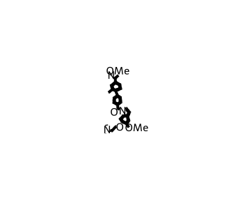 CON=C(C)c1ccc(-c2ccc(C(=O)n3ccc4cc(OC)c(OCCN(C)C)cc43)cc2)c(C)c1